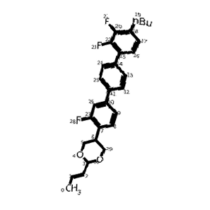 C/C=C/C1OCC(c2ccc(-c3ccc(-c4ccc(CCCC)c(F)c4F)cc3)cc2F)CO1